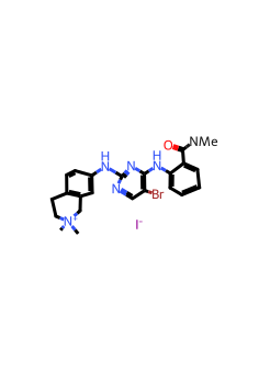 CNC(=O)c1ccccc1Nc1nc(Nc2ccc3c(c2)C[N+](C)(C)CC3)ncc1Br.[I-]